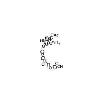 CC(=O)O[C@@H]1C[C@@H](C(N)=O)N(C(=O)[C@@H](NC(=O)COCC2CCN(c3ccc4c(c3)CN([C@H]3C(C)(C)[C@H](Oc5ccc(C#N)c(Cl)c5)C3(C)C)C4=O)CC2)C(C)(C)C)C1